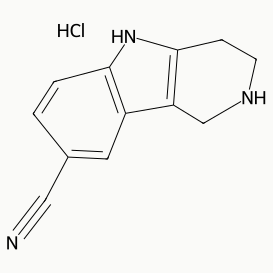 Cl.N#Cc1ccc2[nH]c3c(c2c1)CNCC3